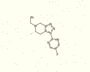 C[C](C)CN1Cc2nnn(-c3ncc(F)cn3)c2C[C@@H]1C